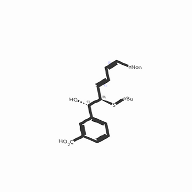 CCCCCCCCC/C=C\C=C\[C@@H](SCCCC)[C@@H](O)c1cccc(C(=O)O)c1